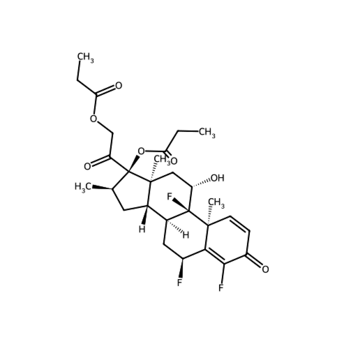 CCC(=O)OCC(=O)[C@@]1(OC(=O)CC)[C@H](C)C[C@H]2[C@@H]3C[C@H](F)C4=C(F)C(=O)C=C[C@]4(C)[C@@]3(F)[C@@H](O)C[C@@]21C